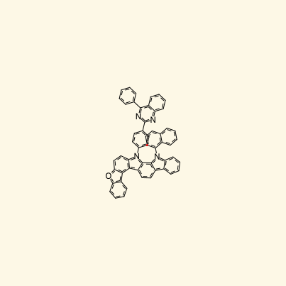 c1ccc(-c2nc(-c3ccc(-n4c5ccc6oc7ccccc7c6c5c5ccc6c7ccccc7n(-c7cccc8ccccc78)c6c54)cc3)nc3ccccc23)cc1